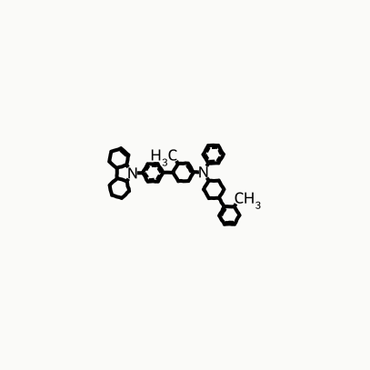 CC1CC=CC=C1C1CCC(N(C2=CC(C)C(c3ccc(N4C5C=CCCC5C5CCCCC54)cc3)CC2)c2ccccc2)CC1